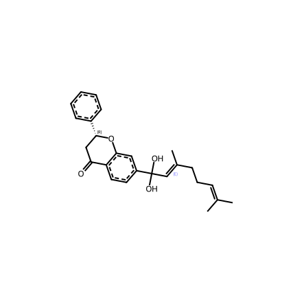 CC(C)=CCC/C(C)=C/C(O)(O)c1ccc2c(c1)O[C@@H](c1ccccc1)CC2=O